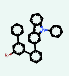 Brc1cc(-c2ccccc2)cc(-c2ccccc2-c2ccc3c4ccccc4n(-c4ccccc4)c3c2)c1